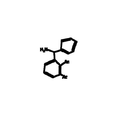 CC(=O)c1cccc(C(N)c2ccccc2)c1C(C)=O